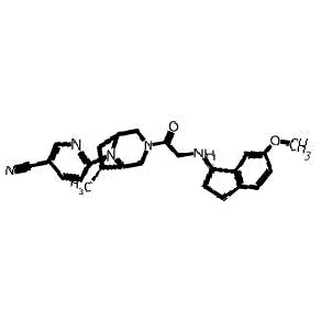 COc1ccc2c(c1)C(NCC(=O)N1CC3C[C@H](C)C(C1)N3c1ccc(C#N)cn1)CC2